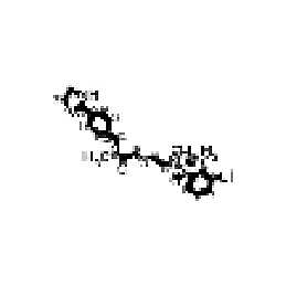 Cc1c(Cl)cccc1S(=O)(=O)N(C)CCOCC(=O)N(C)Cc1ccc(C2=NCCN2)cc1